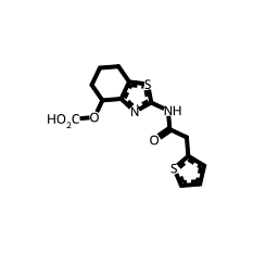 O=C(Cc1cccs1)Nc1nc2c(s1)CCCC2OC(=O)O